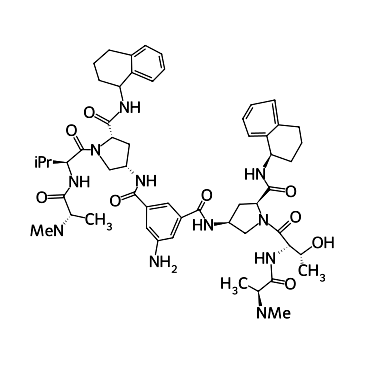 CN[C@@H](C)C(=O)N[C@H](C(=O)N1C[C@@H](NC(=O)c2cc(N)cc(C(=O)N[C@H]3C[C@@H](C(=O)N[C@@H]4CCCc5ccccc54)N(C(=O)[C@@H](NC(=O)[C@H](C)NC)[C@@H](C)O)C3)c2)C[C@H]1C(=O)NC1CCCc2ccccc21)C(C)C